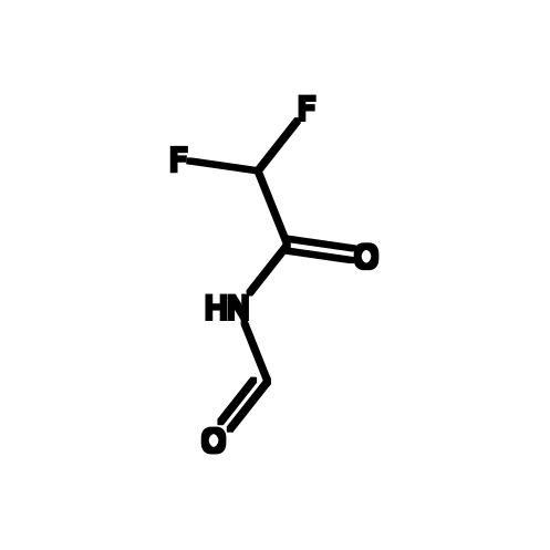 O=CNC(=O)C(F)F